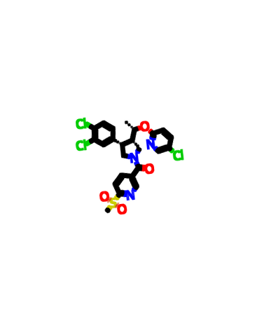 C[C@H](Oc1ccc(Cl)cn1)[C@@H]1CN(C(=O)c2ccc(S(C)(=O)=O)nc2)C[C@@H]1c1ccc(Cl)c(Cl)c1